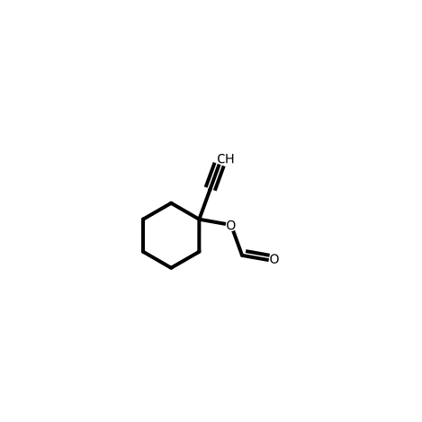 C#CC1(OC=O)CCCCC1